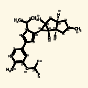 CC(C)n1nc(-c2cnc(N)c(OC(F)F)c2)cc1[C@H]1[C@@H]2C[C@H]3CN(C)C[C@H]3[C@@H]21